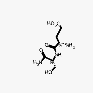 NC(=O)[C@@H](CO)NC(=O)[C@@H](N)CCC(=O)O